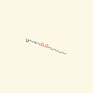 [Li][CH2]C/C=C/CCOCOCCCCCCCCCC